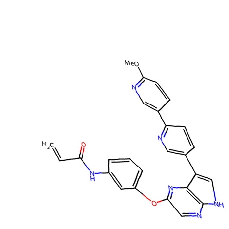 C=CC(=O)Nc1cccc(Oc2cnc3[nH]cc(-c4ccc(-c5ccc(OC)nc5)nc4)c3n2)c1